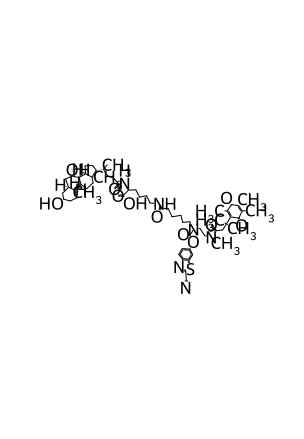 CC1=C(C)C(=O)C(C(C)(C)CC(=O)N(C)CCN(CCCCCC(=O)NCCCCC(NC(=O)CCC(C)[C@H]2CC[C@H]3[C@@H]4[C@@H](O)C[C@@H]5C[C@H](O)CC[C@]5(C)[C@H]4CC[C@]23C)C(=O)O)C(=O)Oc2ccc3nc(C#N)sc3c2)=C(C)C1=O